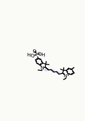 CCN1/C(=C/C=C/C=C/C2=[N+](CC)c3ccc(C)cc3C2(C)C)C(C)(C)c2cc(P(=O)(O)O)ccc21